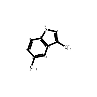 [CH2]c1ccc2scc(C(F)(F)F)c2c1